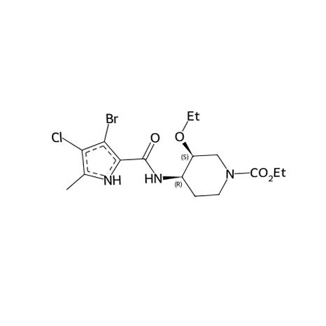 CCOC(=O)N1CC[C@@H](NC(=O)c2[nH]c(C)c(Cl)c2Br)[C@@H](OCC)C1